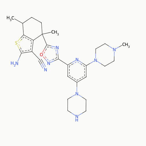 CC1CCC(C)(c2nc(-c3cc(N4CCNCC4)cc(N4CCN(C)CC4)n3)no2)c2c1sc(N)c2C#N